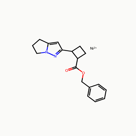 O=C(OCc1ccccc1)C1CCC1c1cc2n(n1)CCC2.[Ni+2]